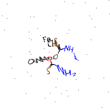 C.COC(N)=S.NC(=S)ON=O.[Fe]